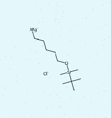 CC(C)(C)[Si](C)(C)OCCCC[CH2][Mg+].[Cl-]